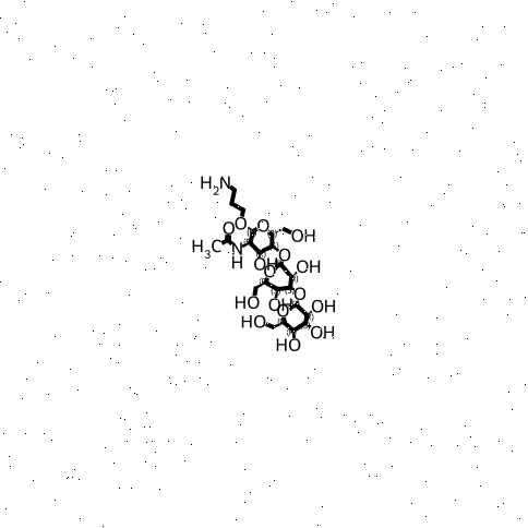 CC(=O)N[C@H]1[C@H](OCCCN)O[C@H](CO)[C@@H](O[C@@H]2O[C@H](CO)[C@H](O)[C@H](O[C@H]3O[C@H](CO)[C@H](O)[C@H](O)[C@H]3O)[C@H]2O)[C@@H]1O